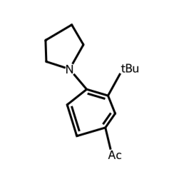 CC(=O)c1ccc(N2CCCC2)c(C(C)(C)C)c1